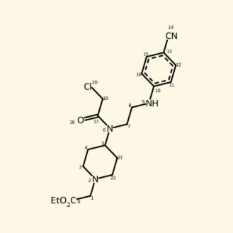 CCOC(=O)CN1CCC(N(CCNc2ccc(C#N)cc2)C(=O)CCl)CC1